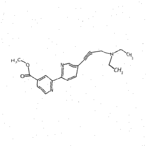 CCN(CC)CC#Cc1ccc(-c2cc(C(=O)OC)ccn2)nc1